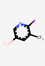 Bc1cnc(I)c(C(F)(F)F)c1